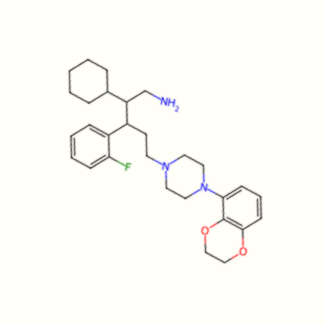 NCC(C1CCCCC1)C(CCN1CCN(c2cccc3c2OCCO3)CC1)c1ccccc1F